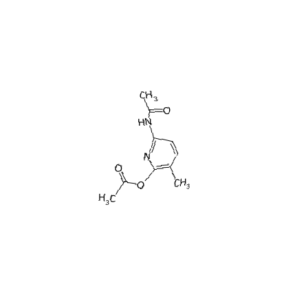 CC(=O)Nc1ccc(C)c(OC(C)=O)n1